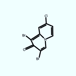 O=c1c(Br)cn2ccc(Cl)cc2c1Br